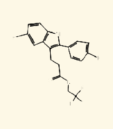 O=C(CCc1c(-c2ccc(F)cc2)[nH]c2ccc(F)cc12)NCC(F)(F)F